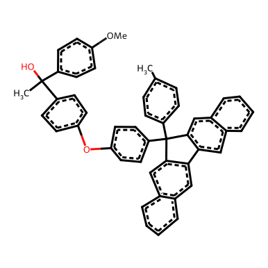 COc1ccc(C(C)(O)c2ccc(Oc3ccc(C4(c5ccc(C)cc5)c5cc6ccccc6cc5-c5cc6ccccc6cc54)cc3)cc2)cc1